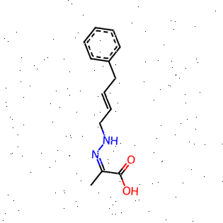 C/C(=N/NC/C=C/Cc1ccccc1)C(=O)O